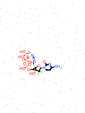 [N-]=[N+]=NC[C@]12O[C@@H](n3ccc(N)nc3=O)C(F)(F)[C@@]1(O)C2OP(=O)(O)OP(=O)(O)OP(=O)(O)O